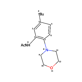 CC(=O)Nc1cc(C(C)(C)C)ccc1N1CCOCC1